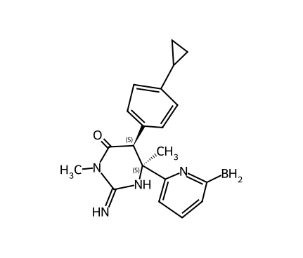 Bc1cccc([C@@]2(C)NC(=N)N(C)C(=O)[C@H]2c2ccc(C3CC3)cc2)n1